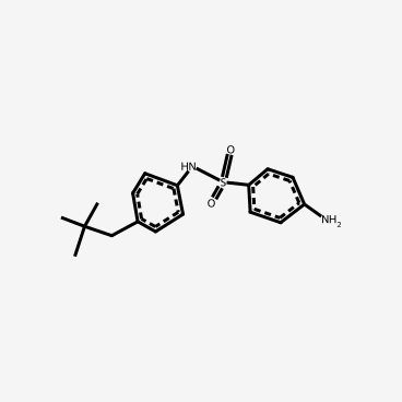 CC(C)(C)Cc1ccc(NS(=O)(=O)c2ccc(N)cc2)cc1